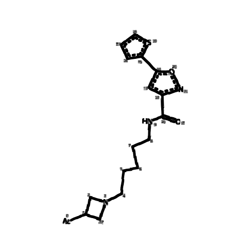 CC(=O)C1CN(CCCCCNC(=O)c2cc(-c3cccs3)on2)C1